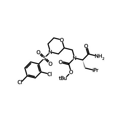 CC(C)C[C@@H](C(N)=O)N(CC1CN(S(=O)(=O)c2ccc(Cl)cc2Cl)CCO1)C(=O)OC(C)(C)C